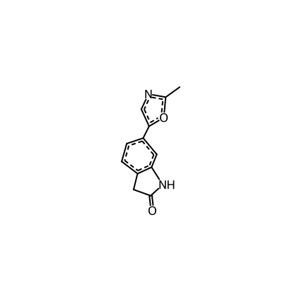 Cc1ncc(-c2ccc3c(c2)NC(=O)C3)o1